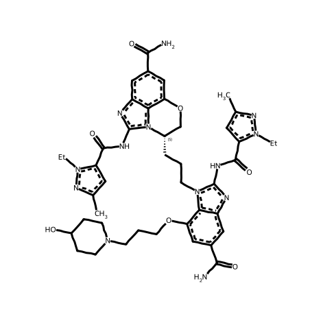 CCn1nc(C)cc1C(=O)Nc1nc2cc(C(N)=O)cc(OCCCN3CCC(O)CC3)c2n1CCC[C@H]1COc2cc(C(N)=O)cc3nc(NC(=O)c4cc(C)nn4CC)n1c23